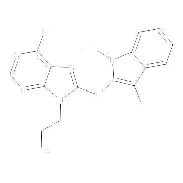 CCCn1c(Sc2nc3c(N)ncnc3n2CCOC(C)=O)c(I)c2ccccc21